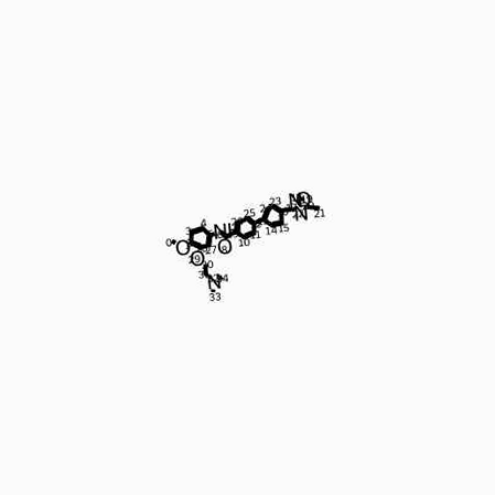 COc1ccc(NC(=O)c2ccc(-c3ccc(-c4noc(C)n4)cc3)cc2)cc1OCCN(C)C